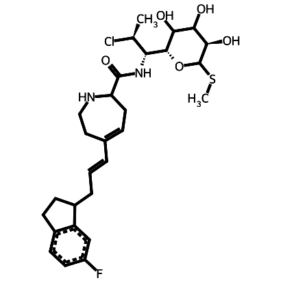 CSC1O[C@H]([C@H](NC(=O)C2CC=C(/C=C/CC3CCc4ccc(F)cc43)CCN2)[C@H](C)Cl)C(O)C(O)[C@H]1O